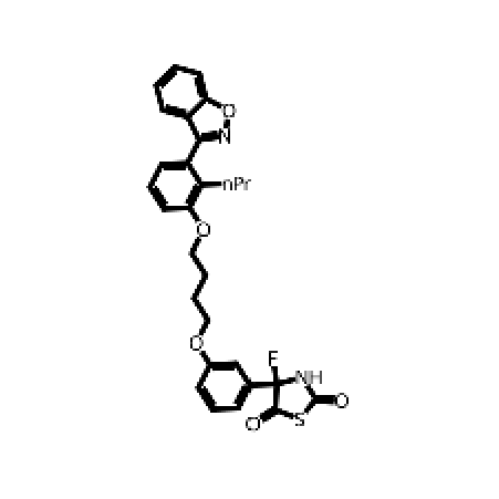 CCCc1c(OCCCCOc2cccc(C3(F)NC(=O)SC3=O)c2)cccc1-c1noc2ccccc12